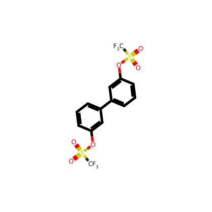 O=S(=O)(Oc1cccc(-c2cccc(OS(=O)(=O)C(F)(F)F)c2)c1)C(F)(F)F